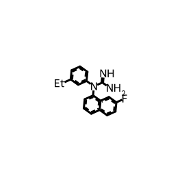 CCc1cccc(N(C(=N)N)c2cccc3ccc(F)cc23)c1